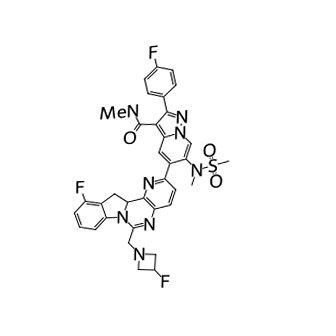 CNC(=O)c1c(-c2ccc(F)cc2)nn2cc(N(C)S(C)(=O)=O)c(-c3ccc4c(n3)C3Cc5c(F)cccc5N3C(CN3CC(F)C3)=N4)cc12